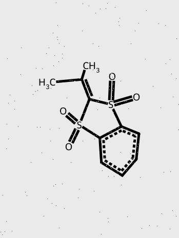 CC(C)=C1S(=O)(=O)c2ccccc2S1(=O)=O